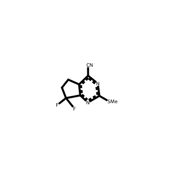 CSc1nc(C#N)c2c(n1)C(F)(F)CC2